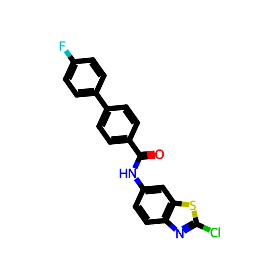 O=C(Nc1ccc2nc(Cl)sc2c1)c1ccc(-c2ccc(F)cc2)cc1